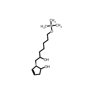 C[Si](C)(C)OCCCCCC(O)C[C@@H]1C=CCC1O